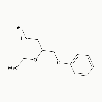 COCOC(CNC(C)C)COc1ccccc1